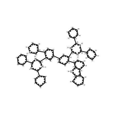 c1ccc(-c2nc(-c3ccccc3)nc(-c3cc(-c4ccc(-c5cccc6c5oc5ccccc56)c(-c5nc(-c6ccccc6)nc(-c6ccccc6)n5)c4)ccc3-c3cccnc3)n2)cc1